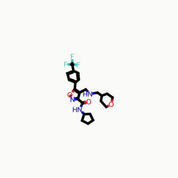 O=C(NC1CCCC1)c1noc(-c2ccc(C(F)(F)F)cc2)c1CNCC1CCOCC1